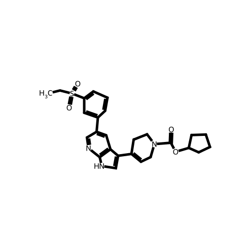 CCS(=O)(=O)c1cccc(-c2cnc3[nH]cc(C4=CCN(C(=O)OC5CCCC5)CC4)c3c2)c1